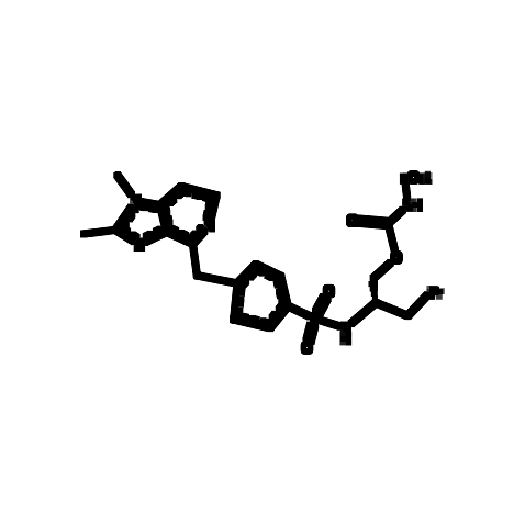 CCCCCCCCNC(=O)OC[C@H](CC(C)C)NS(=O)(=O)c1ccc(Cc2nccc3c2nc(C)n3C)cc1